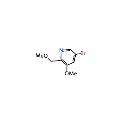 COCc1ncc(Br)cc1OC